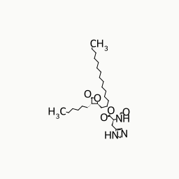 CCCCCCCCCCCCCC(C[C@@H]1OC(=O)[C@H]1CCCCCC)OC(=O)[C@H](Cc1cnc[nH]1)NC=O